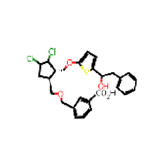 O=C(O)c1cccc(COC[C@H]2CC(Cl)C(Cl)[C@@H]2COc2ccc(C(O)Cc3ccccc3)s2)c1